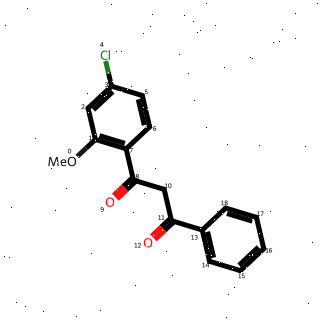 COc1cc(Cl)ccc1C(=O)CC(=O)c1ccccc1